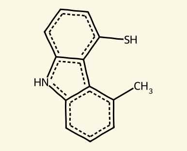 Cc1cccc2[nH]c3cccc(S)c3c12